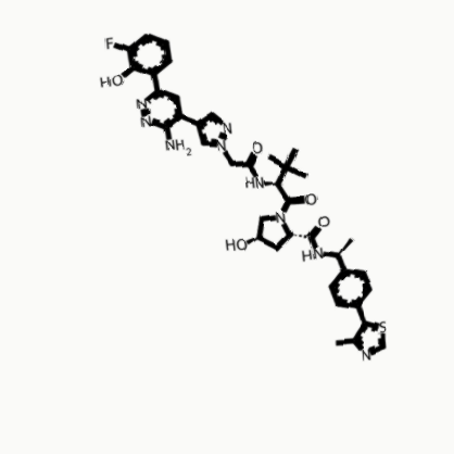 Cc1ncsc1-c1ccc([C@H](C)NC(=O)[C@@H]2C[C@@H](O)CN2C(=O)[C@@H](NC(=O)Cn2cc(-c3cc(-c4cccc(F)c4O)nnc3N)cn2)C(C)(C)C)cc1